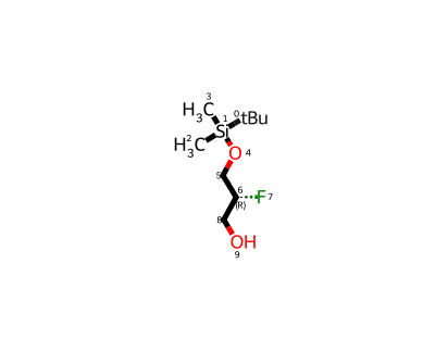 CC(C)(C)[Si](C)(C)OC[C@H](F)CO